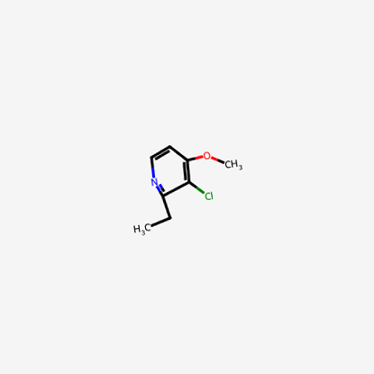 CCc1nccc(OC)c1Cl